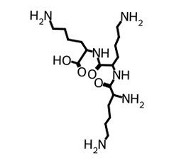 NCCCCC(N)C(=O)NC(CCCCN)C(=O)NC(CCCCN)C(=O)O